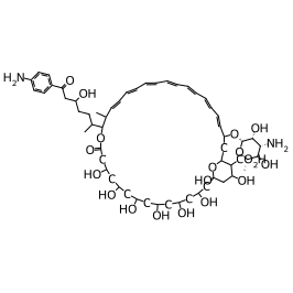 CC1/C=C/C=C/C=C/C=C/C=C/C=C/C=C/C(O[C@H]2O[C@@H](C)[C@H](O)[C@@H](N)[C@H]2O)CC2OC(O)(CC(O)CC(O)CC(O)CC(O)CC(O)CC(O)CC(=O)OC1C(C)CCC(O)CC(=O)c1ccc(N)cc1)CC(O)C2C(=O)O